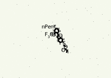 C=CC(=O)OCSc1ccc2cc(-c3ccc(CCCCC)cc3OC(F)(F)F)oc2c1